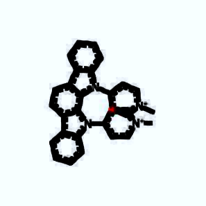 C[n+]1ccc(-n2c3ccccc3c3ccc4c5ccccc5n(-c5cc[n+](C)cc5)c4c32)cc1